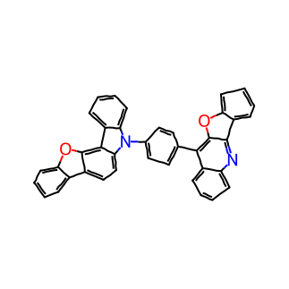 c1ccc2c(-c3ccc(-n4c5ccccc5c5c6oc7ccccc7c6ccc54)cc3)c3oc4ccccc4c3nc2c1